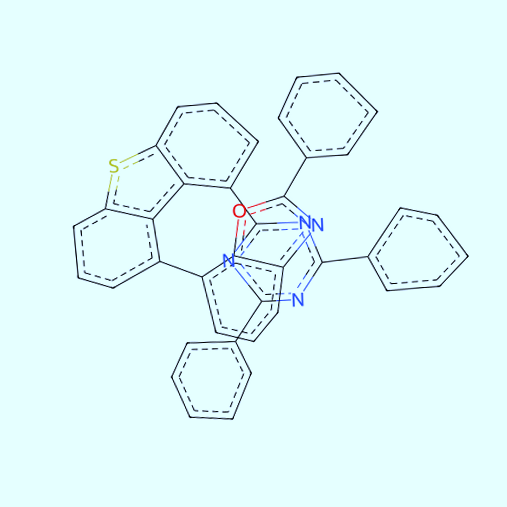 c1ccc(-c2nc(-c3ccccc3)nc(-c3cccc4sc5cccc(-c6cccc7nc(-c8ccccc8)oc67)c5c34)n2)cc1